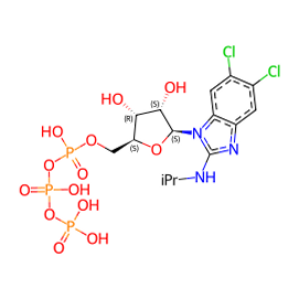 CC(C)Nc1nc2cc(Cl)c(Cl)cc2n1[C@H]1O[C@@H](COP(=O)(O)OP(=O)(O)OP(=O)(O)O)[C@H](O)[C@@H]1O